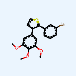 COc1cc(-c2ccsc2-c2cccc(Br)c2)cc(OC)c1OC